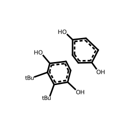 CC(C)(C)c1c(O)ccc(O)c1C(C)(C)C.Oc1ccc(O)cc1